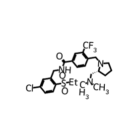 CCS(=O)(=O)c1ccc(Cl)cc1CNC(=O)c1ccc(CN2CCC[C@@H]2CN(C)C)c(C(F)(F)F)c1